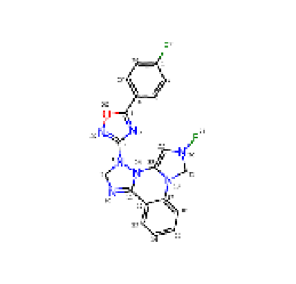 Fc1ccc(-c2nc(N3CN=C4c5ccccc5N5CN(F)C=C5N43)no2)cc1